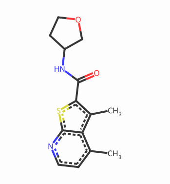 Cc1ccnc2sc(C(=O)NC3CCOC3)c(C)c12